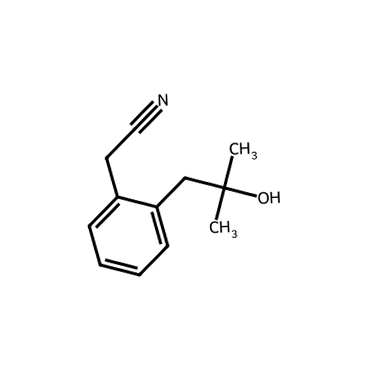 CC(C)(O)Cc1ccccc1CC#N